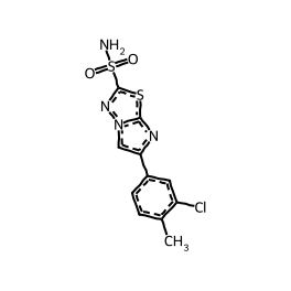 Cc1ccc(-c2cn3nc(S(N)(=O)=O)sc3n2)cc1Cl